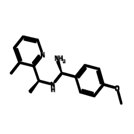 COc1ccc([C@H](N)N[C@@H](C)c2ncccc2C)cc1